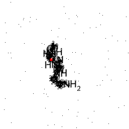 CC(C)(C)OC(=O)N[C@@H]1[C@@H]2CC3C[C@H]1C[C@@](CNc1nc(NCc4cccc(-c5cccc(CN)c5)c4)ncc1C#N)(C3)C2